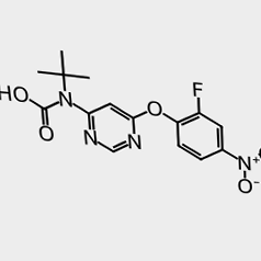 CC(C)(C)N(C(=O)O)c1cc(Oc2ccc([N+](=O)[O-])cc2F)ncn1